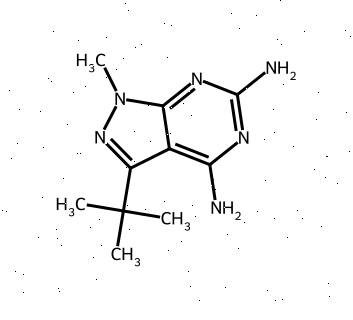 Cn1nc(C(C)(C)C)c2c(N)nc(N)nc21